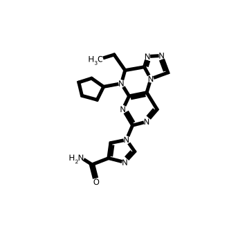 CCC1c2nncn2-c2cnc(-n3cnc(C(N)=O)c3)nc2N1C1CCCC1